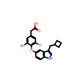 O=C(O)Cc1cc(Cl)c(Oc2ccc3[nH]cc(CC4CCC4)c3c2)c(Br)c1